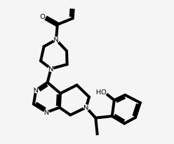 C=CC(=O)N1CCN(c2ncnc3c2CCN(C(C)c2ccccc2O)C3)CC1